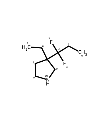 CCC(F)(F)C1(CC)CCNC1